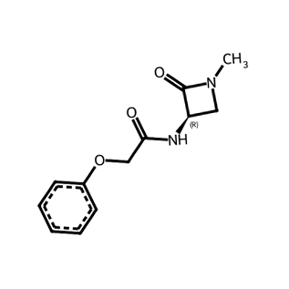 CN1C[C@@H](NC(=O)COc2ccccc2)C1=O